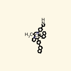 C/C1=C2/C=CCCC2C(C2=CCC(C3C=CC4C=CCCC4C3)C=C2)CN(C2C=CCC3CCCCC32)C/C(C2CC=C(C3=CNCC3)CC2)=C\CC1C